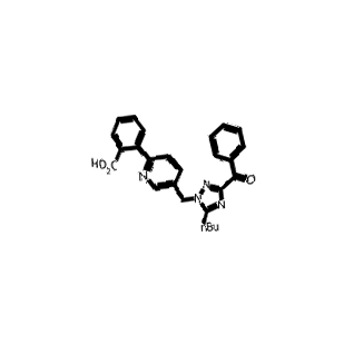 CCCCc1nc(C(=O)c2ccccc2)nn1Cc1ccc(-c2ccccc2C(=O)O)nc1